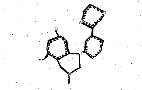 CN1Cc2c(Cl)cc(Cl)cc2[C@H](c2cccc(-c3cnccn3)c2)C1